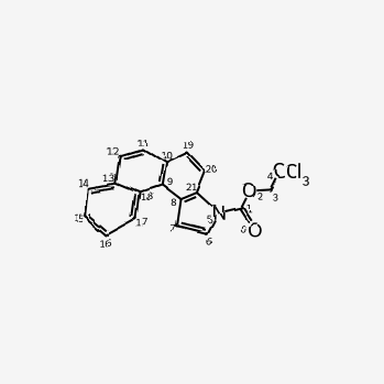 O=C(OCC(Cl)(Cl)Cl)n1ccc2c3c(ccc4ccccc43)ccc21